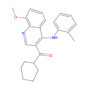 COc1cccc2c(Nc3ccccc3C)c(C(=O)C3CCCCC3)cnc12